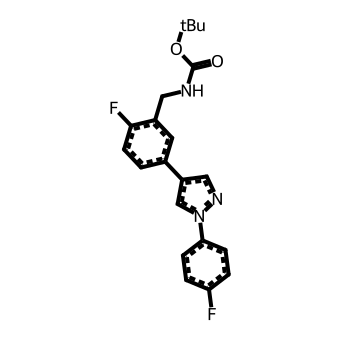 CC(C)(C)OC(=O)NCc1cc(-c2cnn(-c3ccc(F)cc3)c2)ccc1F